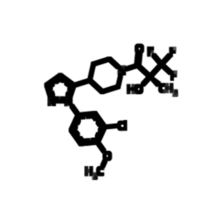 COc1ccc(-n2nccc2C2CCN(C(=O)[C@@](C)(O)C(F)(F)F)CC2)cc1Cl